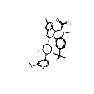 COc1cc(N2CCN(C3=Nc4cc(C)sc4C(CC(=O)O)N3c3cc(C(F)(F)F)ccc3OC)C[C@H]2C)ccn1